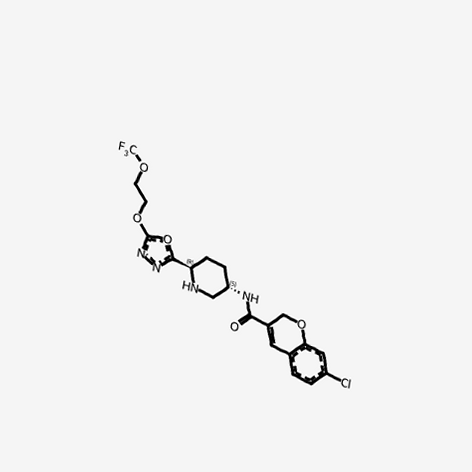 O=C(N[C@H]1CC[C@H](c2nnc(OCCOC(F)(F)F)o2)NC1)C1=Cc2ccc(Cl)cc2OC1